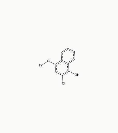 CC(C)Oc1cc(Cl)c(O)c2ccccc12